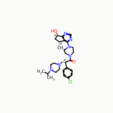 CC(C)N1CCN(C[C@H](C(=O)N2CCN(c3ncnc4c3[C@H](C)C[C@H]4O)CC2)c2ccc(Cl)cc2)CC1